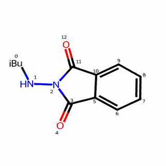 CCC(C)NN1C(=O)c2ccccc2C1=O